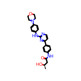 C[C@@H](O)CC(=O)Nc1ccc(-c2ccnc(Nc3ccc(N4CCOCC4)cc3)n2)cc1